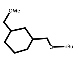 CCCCOCC1CCCC(COC)C1